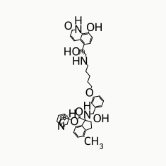 Cc1cccc2c1CCC2(NC(O)c1cccc(OCCCCCNC[C@H](O)c2ccc(O)c3[nH]c(=O)ccc23)c1)C(=O)O[C@H]1CN2CCC1CC2